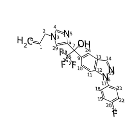 C=CCn1cnc(C(O)(c2ccc3c(cnn3-c3ccc(F)cc3)c2)C(F)(F)F)c1